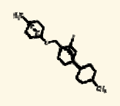 CC1CCC(C23C=C(F)C(COC45CCC(C)(CC4)CC5)(CC2)CC3)CC1